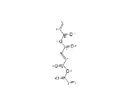 C=CC(=O)OC(=O)C=CC(=O)OC(=O)C=C